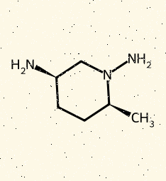 C[C@H]1CC[C@@H](N)CN1N